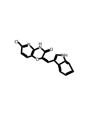 O=C1Nc2nc(Cl)ccc2O/C1=C/c1c[nH]c2ccccc12